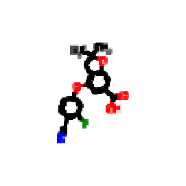 CC1(C)Cc2c(Oc3ccc(C#N)c(F)c3)cc(C(=O)O)cc2O1